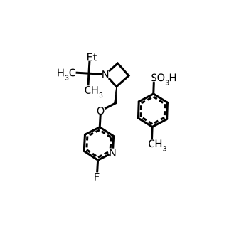 CCC(C)(C)N1CC[C@H]1COc1ccc(F)nc1.Cc1ccc(S(=O)(=O)O)cc1